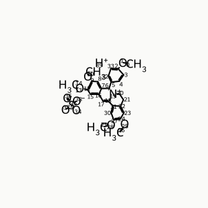 COc1ccc(-c2c3cc(OC)c(OC)cc3cc3[n+]2CCc2cc(OC)c(OC)cc2-3)cc1.O=S(=O)([O-])[O-].[H+]